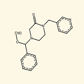 O=COC(c1ccccc1)N1CCN(Cc2cccnc2)C(=O)C1